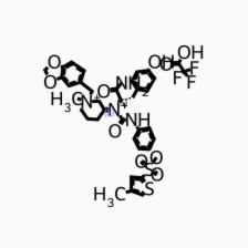 Cc1csc(S(=O)(=O)Oc2ccc(NC(=O)/[N+](=C3\CCC[N+](C)(Cc4ccc5c(c4)OCO5)C3)[C@@H](Cc3ccc(O)cc3)C(N)=O)cc2)c1.O=C(O)C(F)(F)F